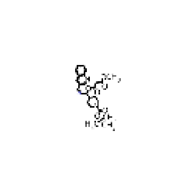 COC(=O)CC(=O)OC(/C=C\c1cnc2ccccc2c1)C1CCN(C(=O)OC(C)(C)C)CC1